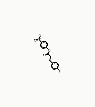 O=C(CCc1ccc(F)cc1)Oc1ccc([N+](=O)[O-])cc1